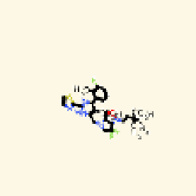 CCOC(=O)C1=C(CN2CC(F)(F)C3C2CON3CCC(C)(C)C(=O)O)NC(c2nccs2)=NC1c1cccc(F)c1C